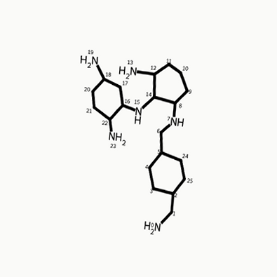 NCC1CCC(CNC2CCCC(N)C2NC2CC(N)CCC2N)CC1